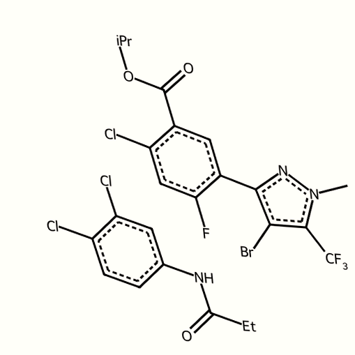 CC(C)OC(=O)c1cc(-c2nn(C)c(C(F)(F)F)c2Br)c(F)cc1Cl.CCC(=O)Nc1ccc(Cl)c(Cl)c1